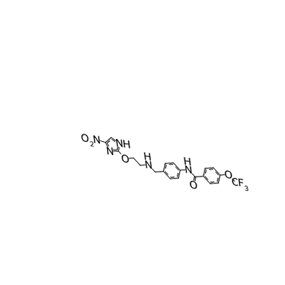 O=C(Nc1ccc(CNCCOc2nc([N+](=O)[O-])c[nH]2)cc1)c1ccc(OC(F)(F)F)cc1